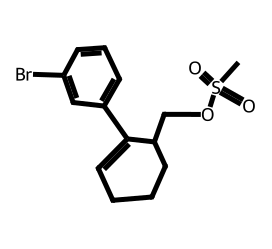 CS(=O)(=O)OCC1CCCC=C1c1cccc(Br)c1